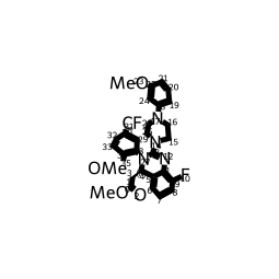 COC(=O)C[C@@H]1c2cccc(F)c2N=C(N2CCN(c3cccc(OC)c3)CC2)N1c1cc(C(F)(F)F)ccc1OC